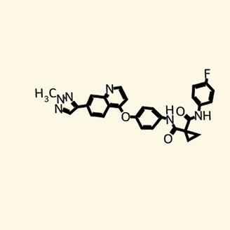 Cn1ncc(-c2ccc3c(Oc4ccc(NC(=O)C5(C(=O)Nc6ccc(F)cc6)CC5)cc4)ccnc3c2)n1